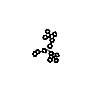 c1ccc(-c2c(-c3ccccc3)c3cc(-c4ccc(N(c5ccc(-c6ccc7ccccc7c6)cc5)c5ccc6c(c5)-c5ccccc5C6(c5ccccc5)c5ccccc5)cc4)ccc3c3ccccc23)cc1